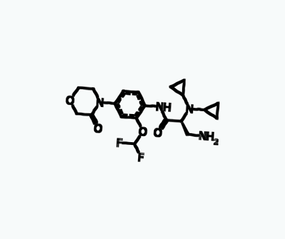 NC[C@@H](C(=O)Nc1ccc(N2CCOCC2=O)cc1OC(F)F)N(C1CC1)C1CC1